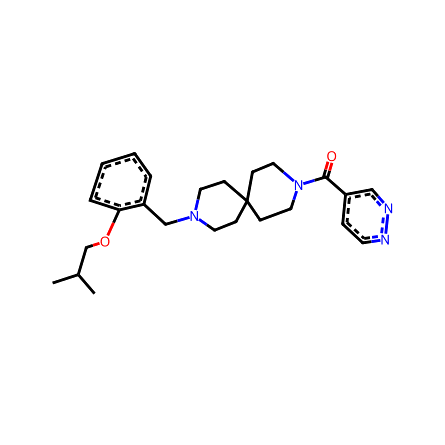 CC(C)COc1ccccc1CN1CCC2(CC1)CCN(C(=O)c1ccnnc1)CC2